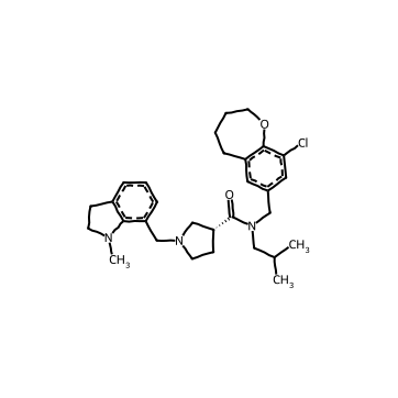 CC(C)CN(Cc1cc(Cl)c2c(c1)CCCCO2)C(=O)[C@@H]1CCN(Cc2cccc3c2N(C)CC3)C1